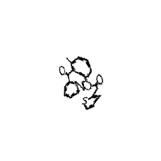 Cc1cccc(OC(=O)c2cccs2)c1C(=O)c1ccccn1